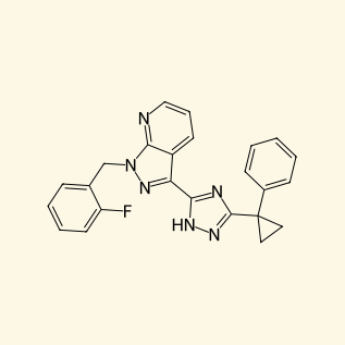 Fc1ccccc1Cn1nc(-c2nc(C3(c4ccccc4)CC3)n[nH]2)c2cccnc21